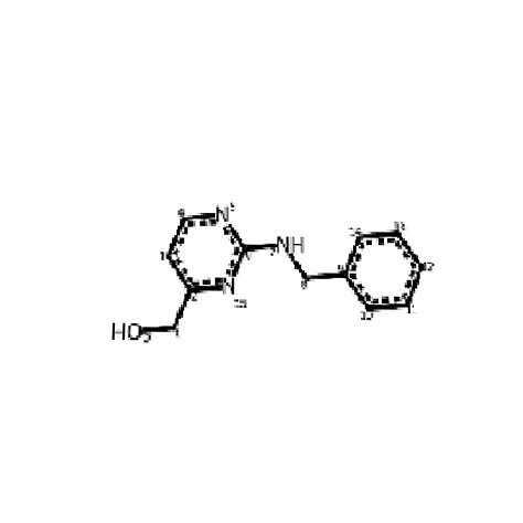 OCc1ccnc(NCc2ccccc2)n1